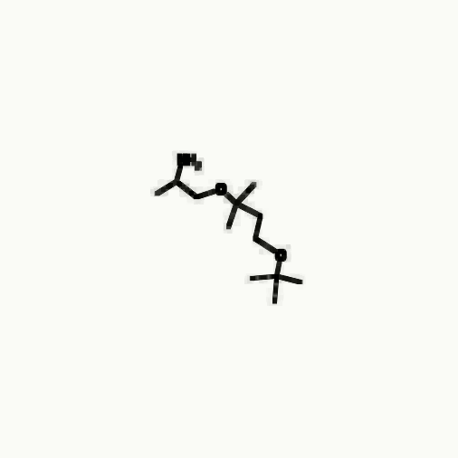 CC(N)COC(C)(C)CCOC(C)(C)C